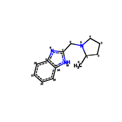 CC1CCCN1Cc1nc2ccccc2[nH]1